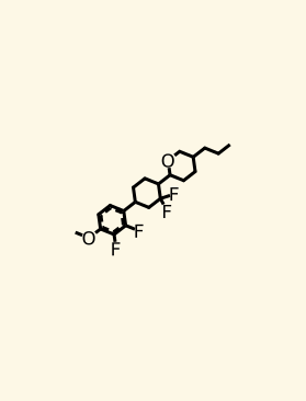 CCCC1CCC(C2CCC(c3ccc(OC)c(F)c3F)CC2(F)F)OC1